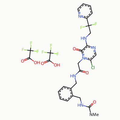 CNC(=O)NCc1ccccc1CNC(=O)Cn1c(Cl)cnc(NCC(F)(F)c2ccccn2)c1=O.O=C(O)C(F)(F)F.O=C(O)C(F)(F)F